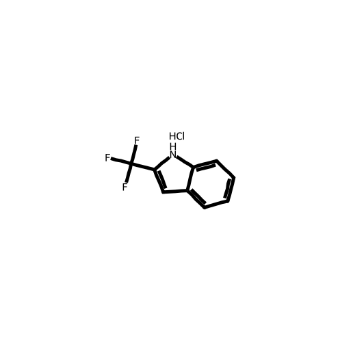 Cl.FC(F)(F)c1cc2ccccc2[nH]1